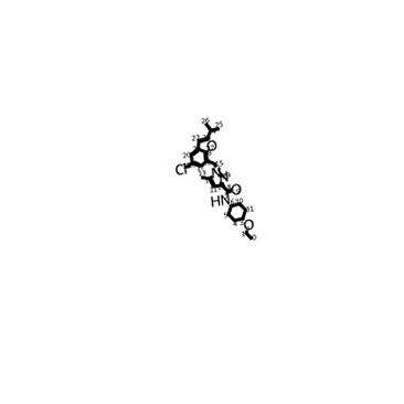 CCO[C@H]1CC[C@H](NC(=O)c2cc(C)n(Cc3cc(Cl)cc4cc(C(C)C)oc34)n2)CC1